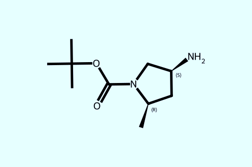 C[C@@H]1C[C@H](N)CN1C(=O)OC(C)(C)C